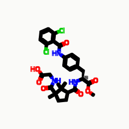 COC(=O)[C@H](Cc1ccc(NC(=O)c2c(Cl)cccc2Cl)cc1)NC(=O)C1CCC(C)(C(=O)NCC(=O)O)C1(C)C